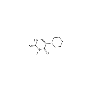 Cn1c(=S)[nH]cc(C2CCCCC2)c1=O